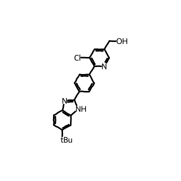 CC(C)(C)c1ccc2nc(-c3ccc(-c4ncc(CO)cc4Cl)cc3)[nH]c2c1